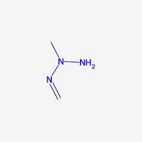 C=NN(C)N